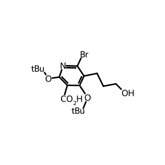 CC(C)(C)Oc1nc(Br)c(CCCO)c(OC(C)(C)C)c1C(=O)O